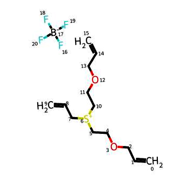 C=CCOCC[S+](CC=C)CCOCC=C.F[B-](F)(F)F